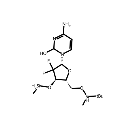 C[SiH2]O[C@@H]1[C@@H](CO[SiH](C)C(C)(C)C)O[C@@H](N2C=CC(N)=NC2O)C1(F)F